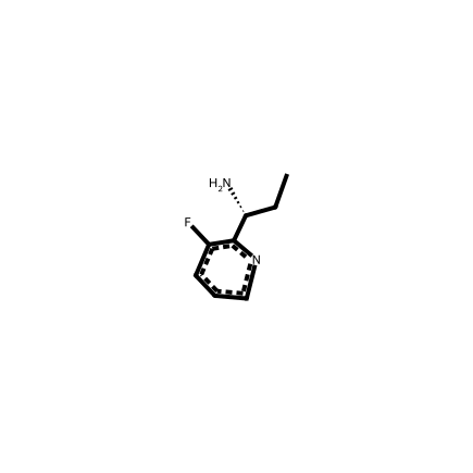 CC[C@@H](N)c1ncccc1F